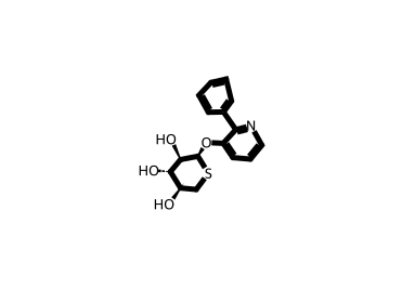 O[C@@H]1[C@@H](O)[C@@H](Oc2cccnc2-c2ccccc2)SC[C@H]1O